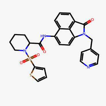 O=C(Nc1ccc2c3c(cccc13)C(=O)N2Cc1ccncc1)C1CCCCN1S(=O)(=O)c1cccs1